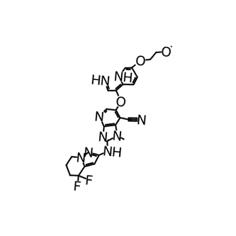 COCCOC1=CN/C(=C(\C=N)Oc2cnc3nc(Nc4cc5n(n4)CCCC5(F)F)n(C)c3c2C#N)C=C1